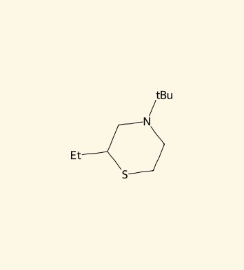 CCC1CN(C(C)(C)C)CCS1